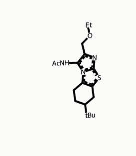 CCOCc1nc2sc3c(n2c1NC(C)=O)CCC(C(C)(C)C)C3